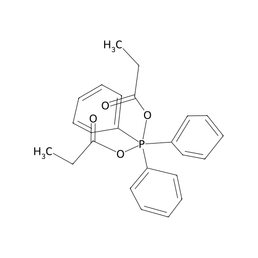 CCC(=O)OP(OC(=O)CC)(c1ccccc1)(c1ccccc1)c1ccccc1